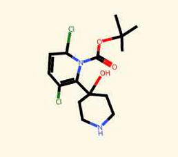 CC(C)(C)OC(=O)N1C(C2(O)CCNCC2)=C(Cl)C=CC1Cl